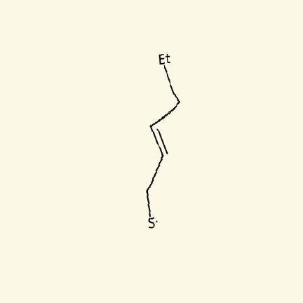 [CH2]CCC=CC[S]